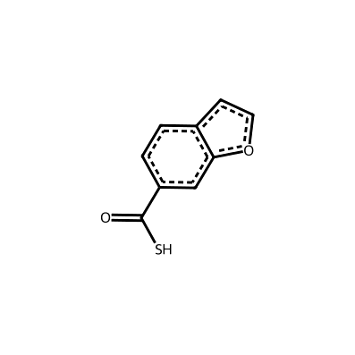 O=C(S)c1ccc2ccoc2c1